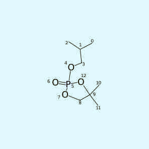 CC(C)COP1(=O)OCC(C)(C)O1